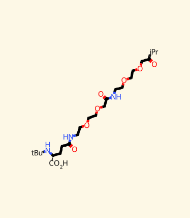 CC(C)C(=O)COCCOCCNC(=O)COCCOCCNC(=O)CC[C@@H](NC(C)(C)C)C(=O)O